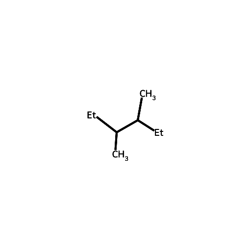 [CH2]CC(C)C(C)C[CH2]